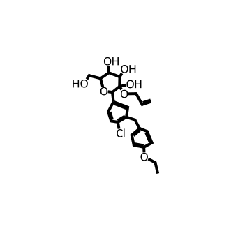 C=CCOC1(O)C(c2ccc(Cl)c(Cc3ccc(OCC)cc3)c2)OC(CO)C(O)C1O